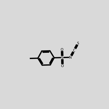 Cc1ccc(S(=O)(=O)N=C=S)cc1